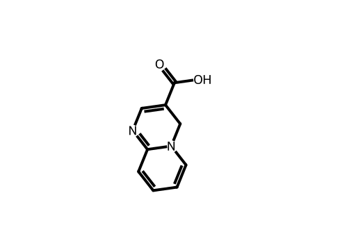 O=C(O)C1=CN=C2C=CC=CN2C1